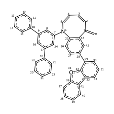 C=C1/C=C\C=C/N(c2cc(-c3ccccc3)cc(-c3ccccc3)c2)c2ccc(-c3cccc4c3oc3ccccc34)cc21